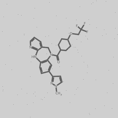 Cn1ccc(-c2ccc3c(c2)N(C(=O)C2CCC(OCC(F)(F)F)CC2)Cc2cccnc2N3)n1